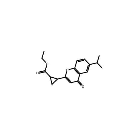 CCOC(=O)C1CC1c1cc(=O)c2cc(C(C)C)ccc2o1